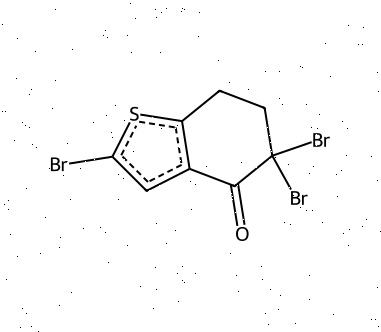 O=C1c2cc(Br)sc2CCC1(Br)Br